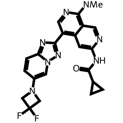 CNc1ncc(-c2nc3ccc(N4CC(F)(F)C4)cn3n2)c2cc(NC(=O)C3CC3)ncc12